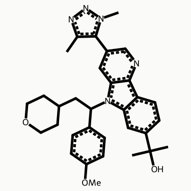 COc1ccc(C(CC2CCOCC2)n2c3cc(C(C)(C)O)ccc3c3ncc(-c4c(C)nnn4C)cc32)cc1